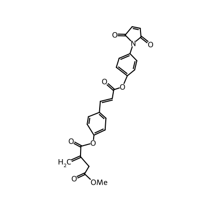 C=C(CC(=O)OC)C(=O)Oc1ccc(/C=C/C(=O)Oc2ccc(N3C(=O)C=CC3=O)cc2)cc1